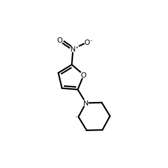 O=[N+]([O-])c1ccc(N2[CH]CCCC2)o1